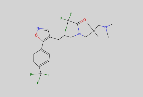 CN(C)CC(C)(C)CN(CCCc1cnoc1-c1ccc(C(F)(F)F)cc1)C(=O)C(F)(F)F